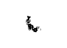 O=C1[C@@H]2C[C@@H](Oc3cnc(C4CC4)cn3)CN2CCN1Cc1cccc(C(F)(F)F)c1